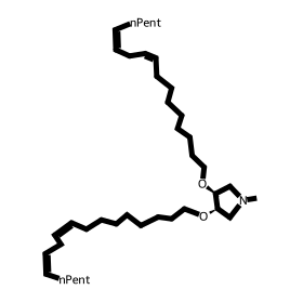 CCCCC/C=C\C/C=C\CCCCCCCCO[C@H]1CN(C)C[C@@H]1OCCCCCCCC/C=C\C/C=C\CCCCC